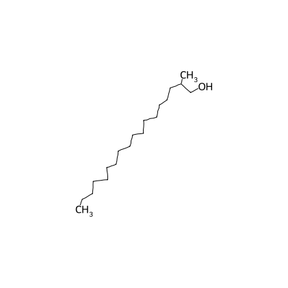 CCCCCCCCCCCCCCCCC(C)CO